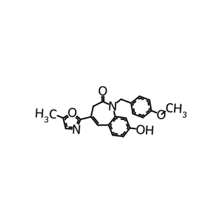 COc1ccc(CN2C(=O)CC(c3ncc(C)o3)=Cc3ccc(O)cc32)cc1